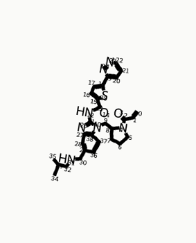 C=CC(=O)N1CCCC1Cn1c(NC(=O)c2ccc(-c3cccnn3)s2)nc2cc(CNCC(C)C)ccc21